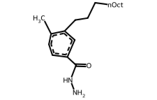 CCCCCCCCCCCc1cc(C(=O)NN)ccc1C